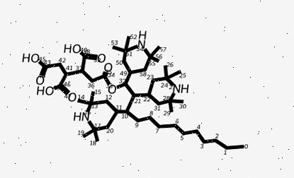 CCCCCCCCCCC(C1CC(C)(C)NC(C)(C)C1)C(C1CC(C)(C)NC(C)(C)C1)C(OC(=O)CC(C(=O)O)C(CC(=O)O)C(=O)O)C1CC(C)(C)NC(C)(C)C1